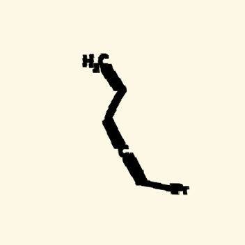 C=CC=C=CC(C)C